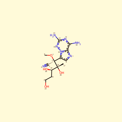 CO[C@@](C#N)(c1cnc2c(N)nc(N)nn12)[C@](C)(O)[C@H](O)CCO